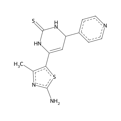 Cc1nc(N)sc1C1=CC(c2ccncc2)NC(=S)N1